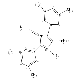 CCCCCCC1=C(c2cc(C)cc(C)c2)[N+](=[N-])C(c2cc(C)cc(C)c2)=C1CCCC.[Ni]